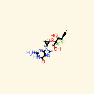 C#CC(F)[C@H](O)C(F)(CO)O[C@@H]1CC1n1cnc2c(=O)[nH]c(N)nc21